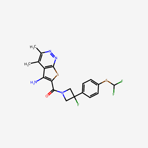 Cc1nnc2sc(C(=O)N3CC(F)(c4ccc(SC(F)F)cc4)C3)c(N)c2c1C